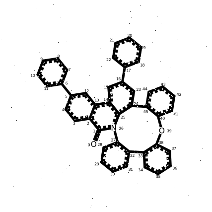 O=c1c2ccc(-c3ccccc3)cc2c2cc(-c3ccccc3)cc3c2n1-c1ccccc1-c1ccccc1Oc1ccccc1-3